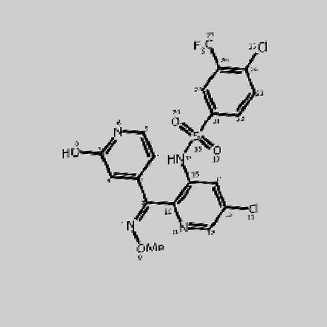 CO/N=C(/c1ccnc(O)c1)c1ncc(Cl)cc1NS(=O)(=O)c1ccc(Cl)c(C(F)(F)F)c1